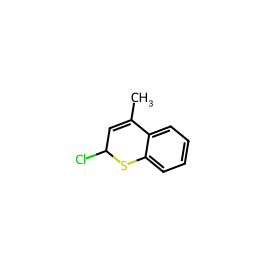 CC1=CC(Cl)Sc2ccccc21